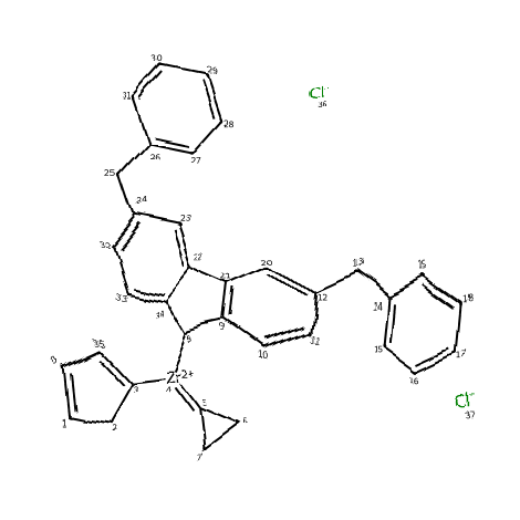 C1=CC[C]([Zr+2](=[C]2CC2)[CH]2c3ccc(Cc4ccccc4)cc3-c3cc(Cc4ccccc4)ccc32)=C1.[Cl-].[Cl-]